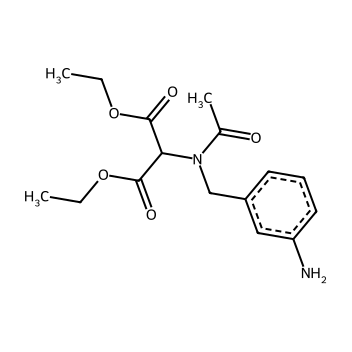 CCOC(=O)C(C(=O)OCC)N(Cc1cccc(N)c1)C(C)=O